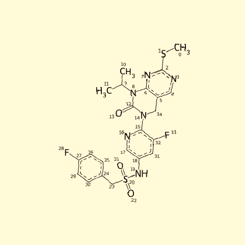 CSc1ncc2c(n1)N(C(C)C)C(=O)N(c1ncc(NS(=O)(=O)Cc3ccc(F)cc3)cc1F)C2